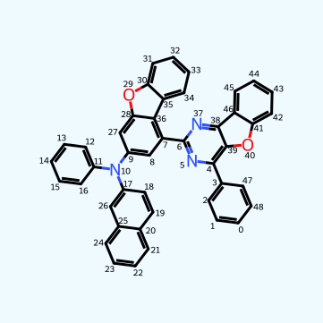 c1ccc(-c2nc(-c3cc(N(c4ccccc4)c4ccc5ccccc5c4)cc4oc5ccccc5c34)nc3c2oc2ccccc23)cc1